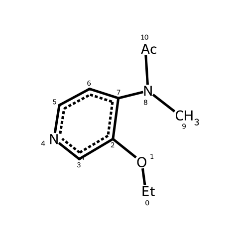 CCOc1[c]nccc1N(C)C(C)=O